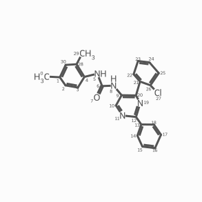 Cc1ccc(NC(=O)Nc2cnc(-c3ccccc3)nc2-c2ccccc2Cl)c(C)c1